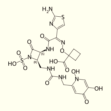 Nc1nc(C(=NOC2(C(=O)O)CCC2)C(=O)N[C@@H]2C(=O)N(S(=O)(=O)O)[C@@H]2CNC(=O)NCc2cc(=O)c(O)cn2O)cs1